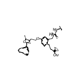 Cc1oc(-c2ccccc2)nc1CCOc1ccc(CCC(=O)O)c(CNC(=O)NC(C)C)c1